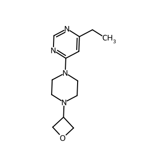 CCc1cc(N2CCN(C3COC3)CC2)ncn1